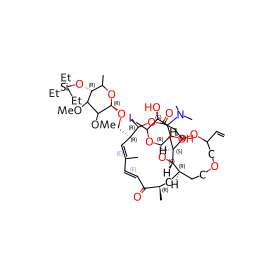 C=CC1COCC[C@H]2C[C@@H](C)C(=O)/C=C/C(C)=C/[C@H](CO[C@@H]3OC(C)[C@@H](O[Si](CC)(CC)CC)C(OC)C3OC)[C@@H](I)OC(=O)C[C@@H](O1)[C@H](C)[C@H]2O[C@@H]1OC(C)[C@@H](O)C(N(C)C)C1O